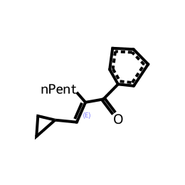 CCCCC/C(=C\C1CC1)C(=O)c1ccccc1